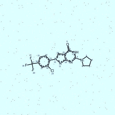 O=c1[nH]c(N2CCCC2)nc2nn(-c3ccc(C(F)(F)F)cc3Cl)cc12